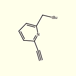 C#Cc1cccc(CC(C)(C)C)n1